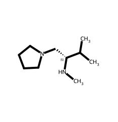 CN[C@H](CN1CCCC1)C(C)C